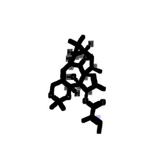 C/C=C(\C)C(=O)O[C@H]1C(C)=C[C@]23C(O)[C@@H](C=C4COC(C)(C)O[C@H]4[C@]12O)[C@H]1[C@@H](C[C@H]3C)C1(C)C